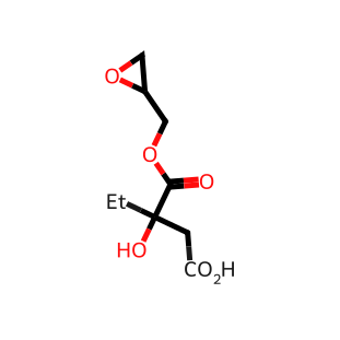 CCC(O)(CC(=O)O)C(=O)OCC1CO1